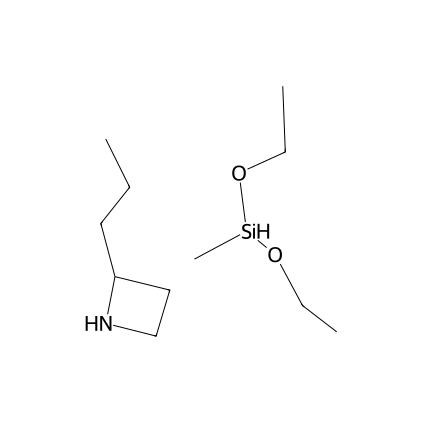 CCCC1CCN1.CCO[SiH](C)OCC